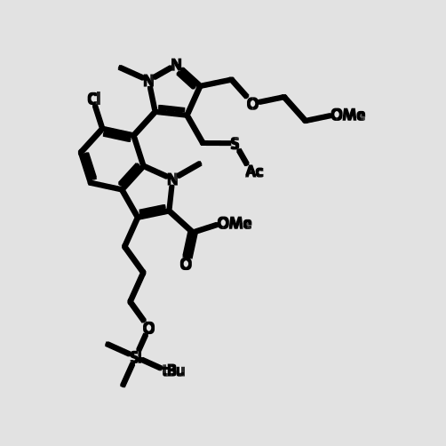 COCCOCc1nn(C)c(-c2c(Cl)ccc3c(CCCO[Si](C)(C)C(C)(C)C)c(C(=O)OC)n(C)c23)c1CSC(C)=O